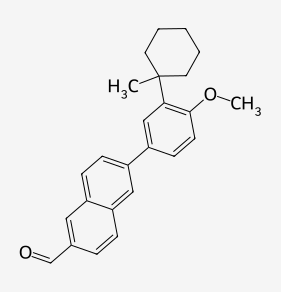 COc1ccc(-c2ccc3cc(C=O)ccc3c2)cc1C1(C)CCCCC1